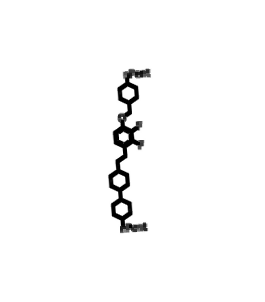 CCCCCC1CCC(COc2ccc(CCC3CCC(C4CCC(CCCCC)CC4)CC3)c(F)c2F)CC1